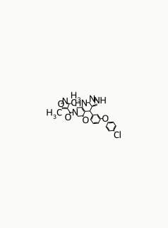 Cc1noc(C)c1C(=O)N1CC(=O)C2=C(C1)Nc1n[nH]cc1C2c1cccc(Oc2ccc(Cl)cc2)c1